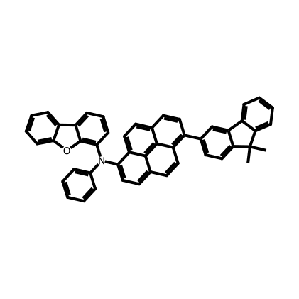 CC1(C)c2ccccc2-c2cc(-c3ccc4ccc5c(N(c6ccccc6)c6cccc7c6oc6ccccc67)ccc6ccc3c4c65)ccc21